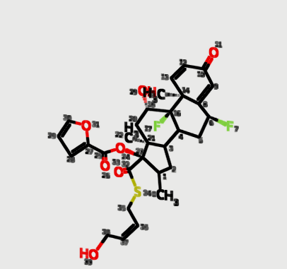 CC1CC2C3C[C@H](F)C4=CC(=O)C=C[C@]4(C)[C@@]3(F)[C@@H](O)C[C@]2(C)[C@@]1(OC(=O)c1ccco1)C(=O)SC/C=C\CO